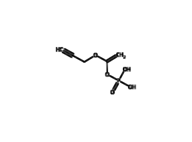 C#CCOC(=C)OP(=O)(O)O